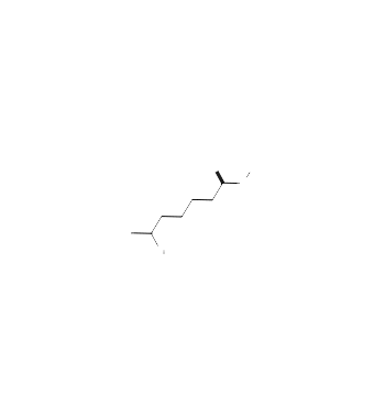 CCOC(=O)CCCCC(Cl)Br